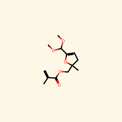 C=C(C)C(=O)OCC1(C)CC=C(C(OC)OC)O1